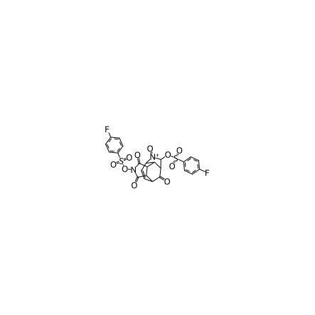 O=C1C2C=CC3C(C4C(=O)N(OS(=O)(=O)c5ccc(F)cc5)C(=O)C24)C1C(OS(=O)(=O)c1ccc(F)cc1)[N+]3=O